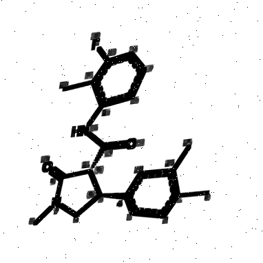 Cc1ccc([C@H]2CN(C)C(=O)[C@@H]2C(=O)Nc2cccc(F)c2C)cc1C